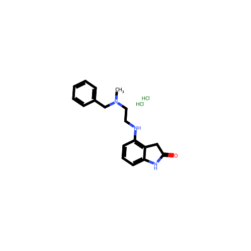 CN(CCNc1cccc2c1CC(=O)N2)Cc1ccccc1.Cl.Cl